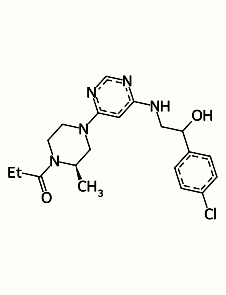 CCC(=O)N1CCN(c2cc(NCC(O)c3ccc(Cl)cc3)ncn2)C[C@H]1C